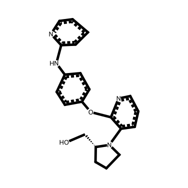 OC[C@H]1CCCN1c1cccnc1Oc1ccc(Nc2ccccn2)cc1